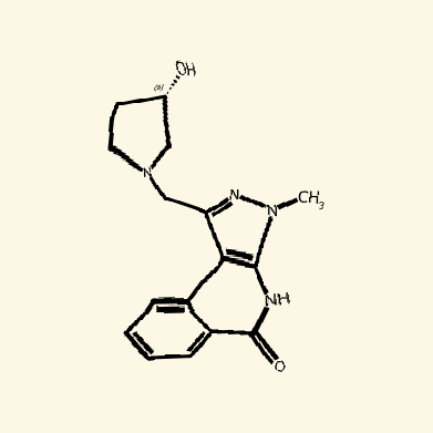 Cn1nc(CN2CC[C@H](O)C2)c2c3ccccc3c(=O)[nH]c21